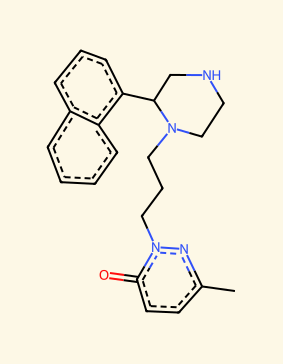 Cc1ccc(=O)n(CCCN2CCNCC2c2cccc3ccccc23)n1